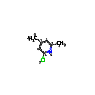 [CH2]c1cc(C)nc(Cl)c1